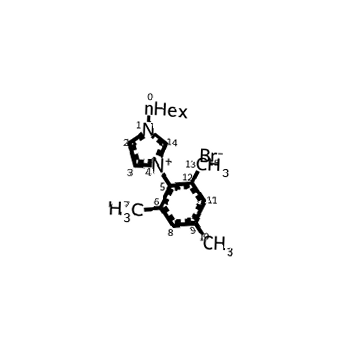 CCCCCCn1cc[n+](-c2c(C)cc(C)cc2C)c1.[Br-]